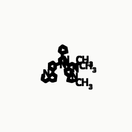 Cc1ccc2ccc3c(-c4nc(-c5ccccc5)cc(-c5cccc(-c6cccc7cccnc67)c5)n4)cc(C(C)C)nc3c2n1